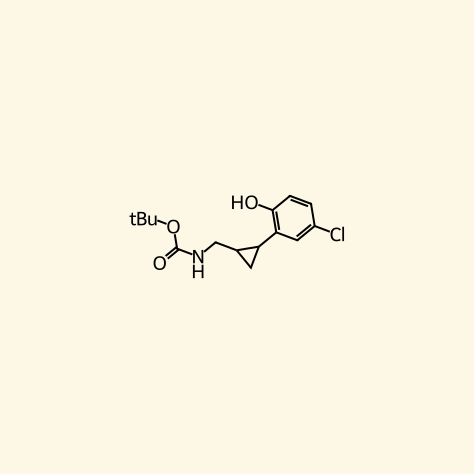 CC(C)(C)OC(=O)NCC1CC1c1cc(Cl)ccc1O